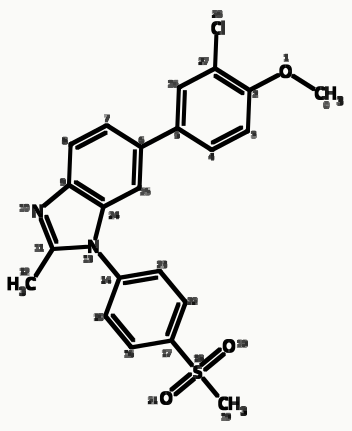 COc1ccc(-c2ccc3nc(C)n(-c4ccc(S(C)(=O)=O)cc4)c3c2)cc1Cl